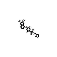 COc1cc2nccc(Oc3cc(C)c(NC(=O)OCC4CCCC4)cc3C)c2cc1OC